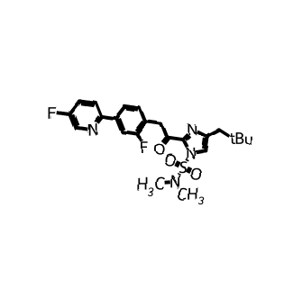 CN(C)S(=O)(=O)n1cc(CC(C)(C)C)nc1C(=O)Cc1ccc(-c2ccc(F)cn2)cc1F